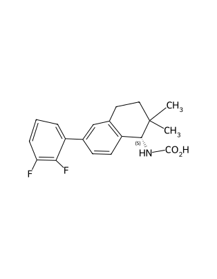 CC1(C)CCc2cc(-c3cccc(F)c3F)ccc2[C@H]1NC(=O)O